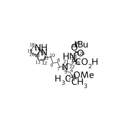 COC(C)(C)CCN(CCCCc1ccc2c(n1)NCCC2)CC[C@H](NC(=O)OC(C)(C)C)C(=O)O